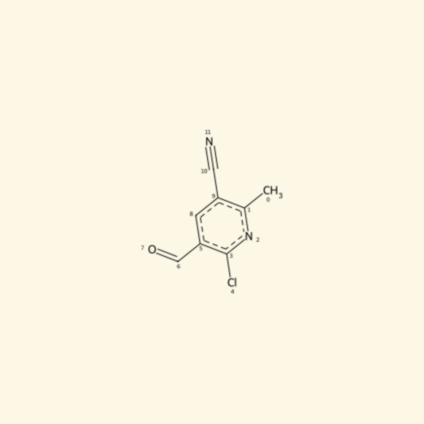 Cc1nc(Cl)c(C=O)cc1C#N